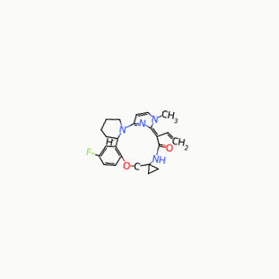 C=C/C1=C2/N=C(C=CN2C)N2CCCC[C@@H]2c2cc(F)ccc2OCC2(CC2)NC1=O